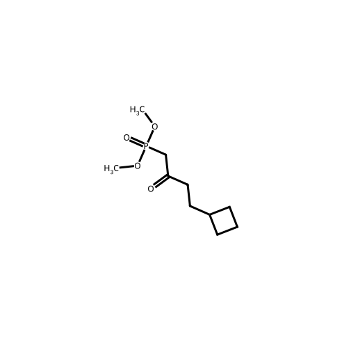 COP(=O)(CC(=O)CCC1CCC1)OC